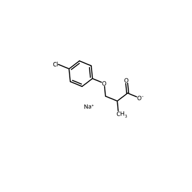 CC(COc1ccc(Cl)cc1)C(=O)[O-].[Na+]